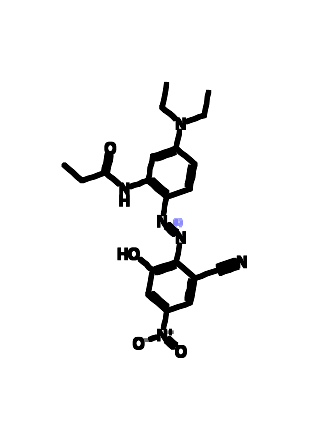 CCC(=O)Nc1cc(N(CC)CC)ccc1/N=N/c1c(O)cc([N+](=O)[O-])cc1C#N